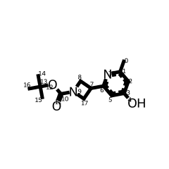 Cc1cc(O)cc(C2CN(C(=O)OC(C)(C)C)C2)n1